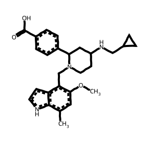 COc1cc(C)c2[nH]ccc2c1CN1CCC(NCC2CC2)CC1c1ccc(C(=O)O)cc1